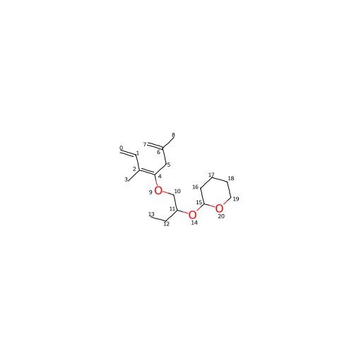 C=C/C(C)=C(\CC(=C)C)OCC(CC)OC1CCCCO1